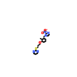 Cc1c(Cn2ccnc2[N+](=O)[O-])cccc1OCCCSc1ncccn1